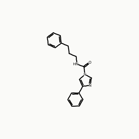 O=C(NCCCc1ccccc1)n1cnc(-c2ccccc2)c1